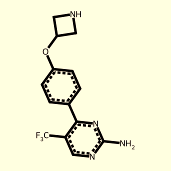 Nc1ncc(C(F)(F)F)c(-c2ccc(OC3CNC3)cc2)n1